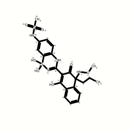 CCCC1(NOC)C(=O)C(C2=NS(O)(O)c3cc(NS(C)(=O)=O)ccc3N2)=C(O)c2ccccc21